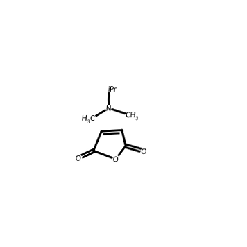 O=C1C=CC(=O)O1.[CH2]C(C)N(C)C